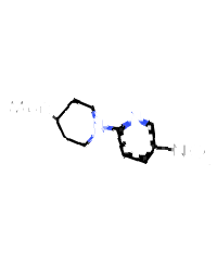 COC1CCN(c2ccc([N+](=O)[O-])cn2)CC1